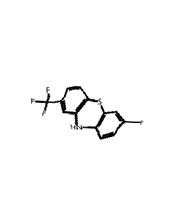 Fc1ccc2c(c1)Sc1ccc(C(F)(F)F)cc1N2